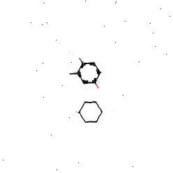 C[C@@H]1CCCC[C@@H]1Oc1ccc(C#N)c(C(F)(F)F)c1